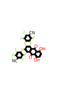 N#Cc1c(F)c(F)c(Sc2cc3c(cc2Sc2c(F)c(F)c(C#N)c(F)c2F)C(=O)c2c(O)ccc(O)c2C3=O)c(F)c1F